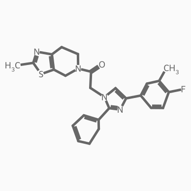 Cc1nc2c(s1)CN(C(=O)Cn1cc(-c3ccc(F)c(C)c3)nc1C1=CC=CCC1)CC2